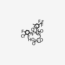 Cc1cc(C(F)(F)F)cc(N2C(=O)N(CC3CN(C(=O)O)CCO3)C[C@H]2C(=O)N(C)c2ccc(F)c(Cl)c2F)n1